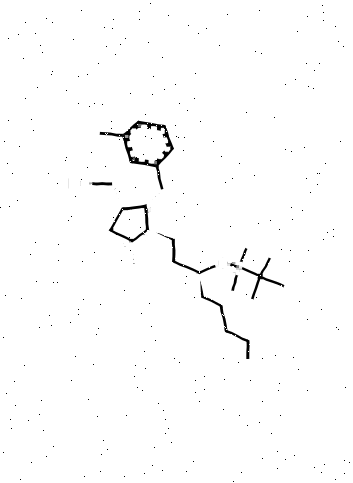 CCCCC[C@@H](CC[C@@H]1[C@@H](Cc2cccc(C)c2)[C@@H](CO)C[C@H]1C)O[Si](C)(C)C(C)(C)C